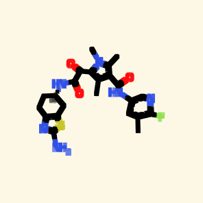 Cc1cc(NC(=O)c2c(C)c(C(=O)C(=O)N[C@H]3CCc4nc(N)sc4C3)n(C)c2C)cnc1F